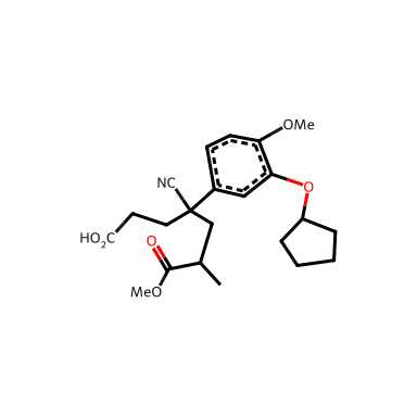 COC(=O)C(C)CC(C#N)(CCC(=O)O)c1ccc(OC)c(OC2CCCC2)c1